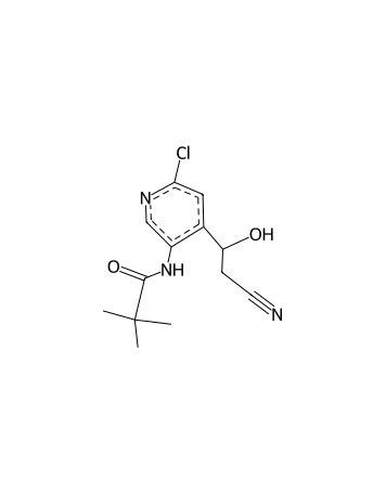 CC(C)(C)C(=O)Nc1cnc(Cl)cc1C(O)CC#N